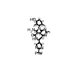 Cc1nc2c3c(c(N)n(-c4c(C)ccc(O)c4C)c3n1)C(=O)NC(c1cnc(C(F)F)nc1)=C2